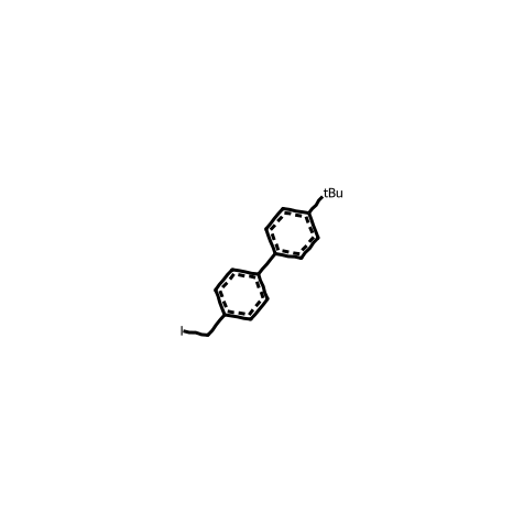 CC(C)(C)c1ccc(-c2ccc(CI)cc2)cc1